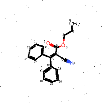 [CH2]CCOC(=O)C(C#N)=C(c1ccccc1)c1ccccc1